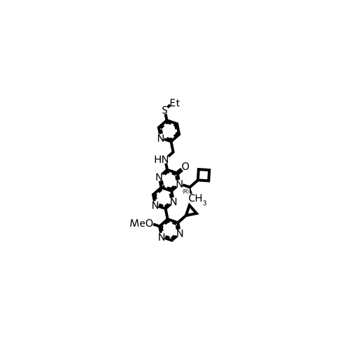 CCSc1ccc(CNc2nc3cnc(-c4c(OC)ncnc4C4CC4)nc3n([C@H](C)C3CCC3)c2=O)nc1